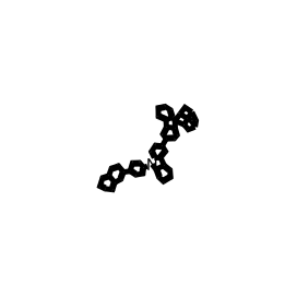 c1ccc2c(c1)-c1cc(-c3ccc4c(c3)c3ccccc3n4-c3ccc(-c4ccc5ccccc5c4)cc3)ccc1C21C2CC3CC4CC1C42C3